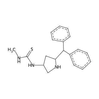 CNC(=S)NC1CNC(C(c2ccccc2)c2ccccc2)C1